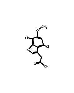 COc1cc(Cl)c2c(CC(=O)O)csc2c1Cl